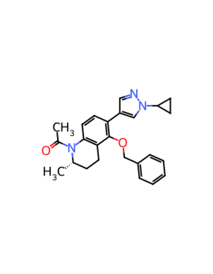 CC(=O)N1c2ccc(-c3cnn(C4CC4)c3)c(OCc3ccccc3)c2CC[C@@H]1C